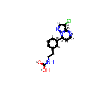 O=C(O)NCCc1cccc(-c2ccnc3c(Cl)cnn23)c1